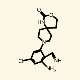 N=Cc1c(N)cc(Cl)cc1N1CCC2(CCOC(=O)N2)CC1